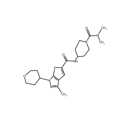 Cc1nn(C2CCOCC2)c2sc(C(=O)NC3CCN(C(=O)N(C)C)CC3)cc12